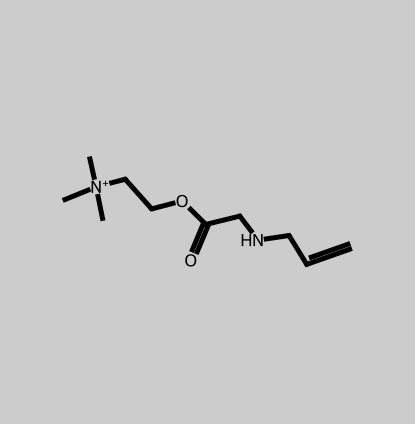 C=CCNCC(=O)OCC[N+](C)(C)C